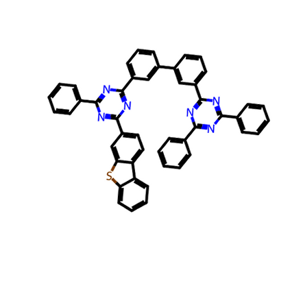 c1ccc(-c2nc(-c3ccccc3)nc(-c3cccc(-c4cccc(-c5nc(-c6ccccc6)nc(-c6ccc7c(c6)sc6ccccc67)n5)c4)c3)n2)cc1